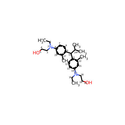 CCN(CCO)c1ccc(C(c2ccc(N(CC)CCO)cc2C)C(C)C)c(C)c1